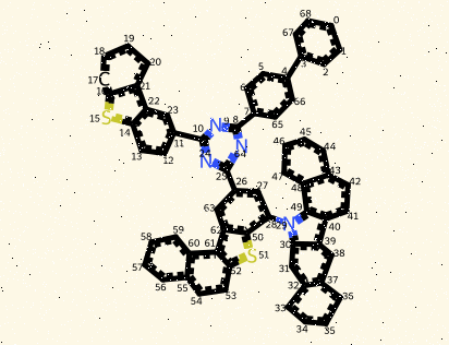 c1ccc(-c2ccc(-c3nc(-c4ccc5sc6ccccc6c5c4)nc(-c4cc(-n5c6cc7ccccc7cc6c6ccc7ccccc7c65)c5sc6ccc7ccccc7c6c5c4)n3)cc2)cc1